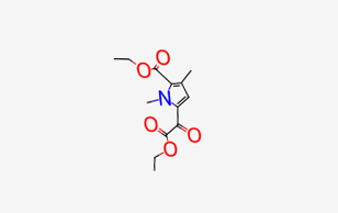 CCOC(=O)C(=O)c1cc(C)c(C(=O)OCC)n1C